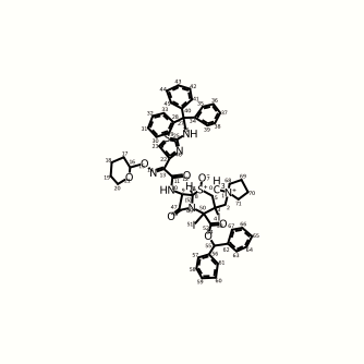 C[N+]1(CC2(I)C[S+]([O-])[C@H]3C(NC(=O)C(=NOC4CCCCO4)c4csc(NC(c5ccccc5)(c5ccccc5)c5ccccc5)n4)C(=O)N3C2(I)C(=O)OC(c2ccccc2)c2ccccc2)CCCC1